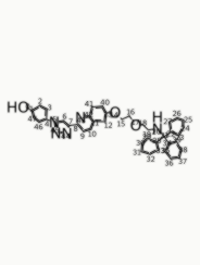 Oc1ccc(-n2cc(-c3ccc4cc(OCCOCCNC(c5ccccc5)(c5ccccc5)c5ccccc5)ccc4n3)nn2)cc1